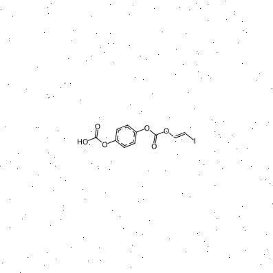 O=C(O)Oc1ccc(OC(=O)OC=CI)cc1